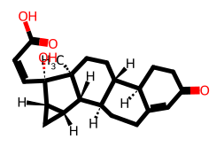 C[C@]12CC[C@H]3[C@@H](CCC4=CC(=O)CC[C@@H]43)[C@@H]1[C@@H]1C[C@@H]1[C@@]2(O)/C=C\C(=O)O